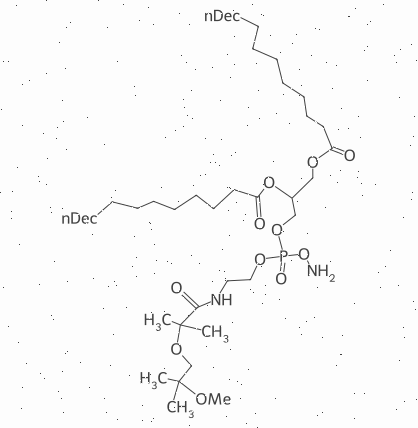 CCCCCCCCCCCCCCCCCC(=O)OCC(COP(=O)(ON)OCCNC(=O)C(C)(C)OCC(C)(C)OC)OC(=O)CCCCCCCCCCCCCCCCC